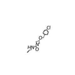 C=CCNC(=O)N1CC(OCc2ccc(Cl)cc2)C1